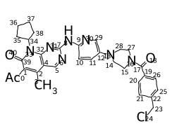 CC(=O)c1c(C)c2cnc(Nc3ccc(N4CCN(C(=O)c5ccc(CCl)cc5)CC4)cn3)nc2n(C2CCCC2)c1=O